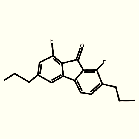 CCCc1cc(F)c2c(c1)-c1ccc(CCC)c(F)c1C2=O